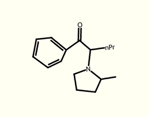 CCCC(C(=O)c1ccccc1)N1CCCC1C